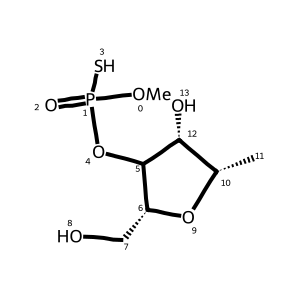 COP(=O)(S)OC1[C@@H](CO)O[C@@H](C)[C@H]1O